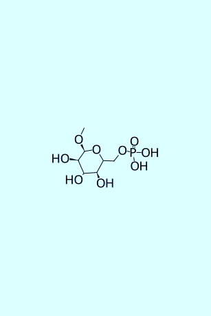 CO[C@H]1OC(COP(=O)(O)O)[C@@H](O)C(O)[C@H]1O